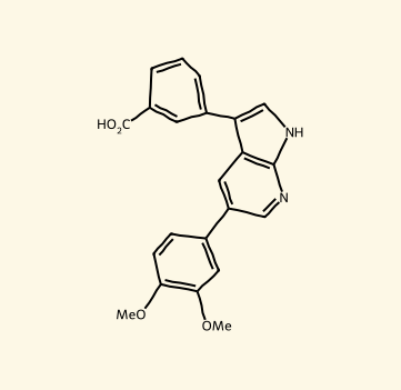 COc1ccc(-c2cnc3[nH]cc(-c4cccc(C(=O)O)c4)c3c2)cc1OC